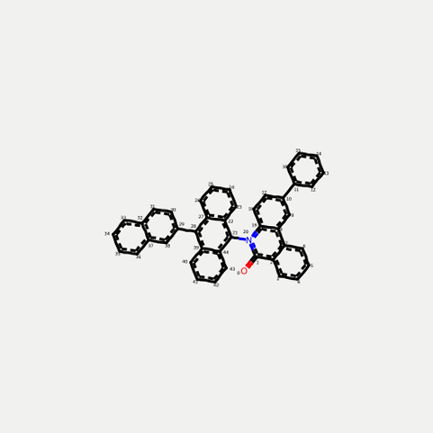 O=c1c2ccccc2c2cc(-c3ccccc3)ccc2n1-c1c2ccccc2c(-c2ccc3ccccc3c2)c2ccccc12